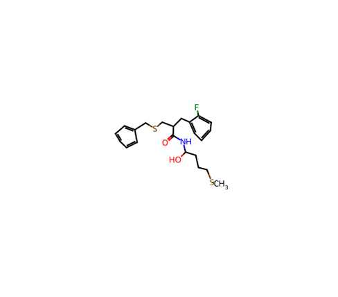 CSCCCC(O)NC(=O)C(CSCc1ccccc1)Cc1ccccc1F